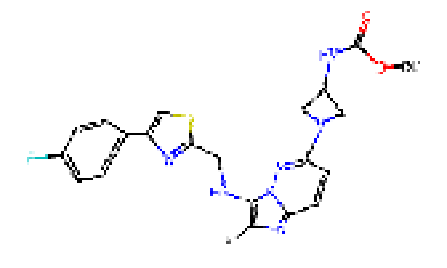 CCc1nc2ccc(N3CC(NC(=O)OC(C)(C)C)C3)nn2c1NCc1nc(-c2ccc(F)cc2)cs1